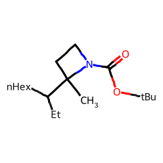 CCCCCCC(CC)C1(C)CCN1C(=O)OC(C)(C)C